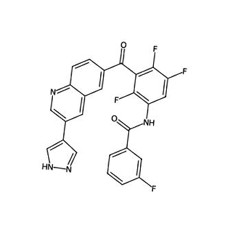 O=C(Nc1cc(F)c(F)c(C(=O)c2ccc3ncc(-c4cn[nH]c4)cc3c2)c1F)c1cccc(F)c1